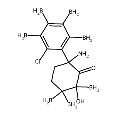 Bc1c(B)c(B)c(C2(N)CCC(B)(B)C(B)(O)C2=O)c(Cl)c1B